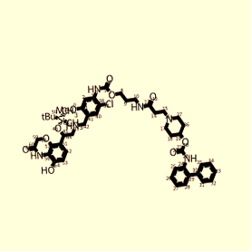 COc1cc(NC(=O)OCCCNC(=O)CCN2CCC(OC(=O)Nc3ccccc3-c3ccccc3)CC2)c(Cl)cc1CNCC(O[Si](C)(C)C(C)(C)C)c1ccc(O)c2c1OCC(=O)N2